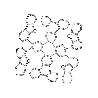 c1ccc2c(c1)oc1c(-c3cc4c(cc3-c3cccc5c3oc3ccccc35)-c3cc5c6ccccc6c6ccccc6c5cc3-c3cc(-c5cccc6c5oc5ccccc56)c(-c5cccc6c5oc5ccccc56)cc3-c3cc5c6ccccc6c6ccccc6c5cc3-4)cccc12